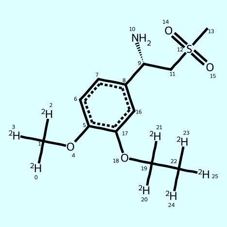 [2H]C([2H])([2H])Oc1ccc([C@H](N)CS(C)(=O)=O)cc1OC([2H])([2H])C([2H])([2H])[2H]